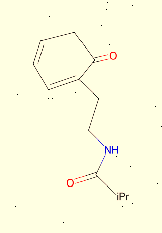 CC(C)C(=O)NCCC1=CC=CCC1=O